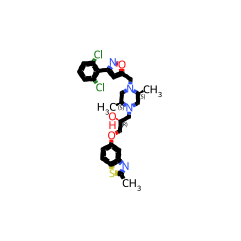 Cc1nc2cc(OC[C@H](O)CN3C[C@H](C)N(Cc4cc(-c5c(Cl)cccc5Cl)no4)C[C@@H]3C)ccc2s1